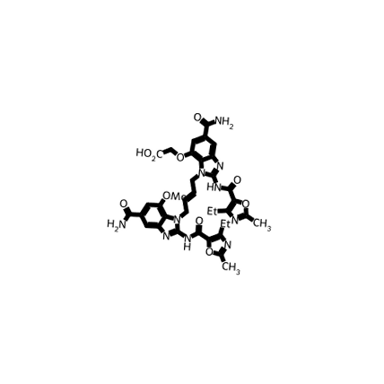 CCc1nc(C)oc1C(=O)Nc1nc2cc(C(N)=O)cc(OC)c2n1C/C=C/Cn1c(NC(=O)c2oc(C)nc2CC)nc2cc(C(N)=O)cc(OCC(=O)O)c21